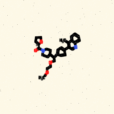 COCCOCC(c1ccc(-c2cnc3ccccc3c2C)cc1)C1CCN(C(=O)[C@H]2CCCO2)CC1